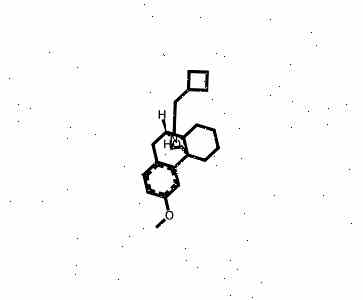 COc1ccc2c(c1)C13CCCC[C@@]1(O)[C@@H](C2)N(CC1CCC1)CC3